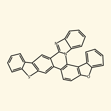 c1ccc2c(c1)nc1c3cc4c(cc3c3ccc5oc6ccccc6c5c3n21)sc1ccccc14